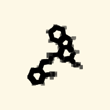 Cc1nc(N/N=C/c2ccccc2O)c2c3c(sc2n1)CCCC3